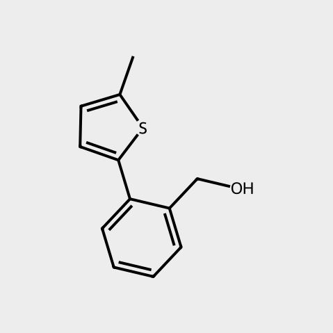 Cc1ccc(-c2ccccc2CO)s1